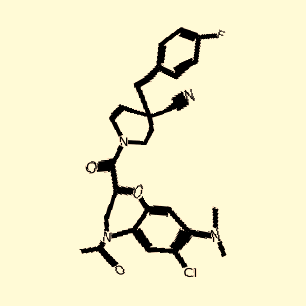 CC(=O)N1CC(C(=O)N2CCC(C#N)(Cc3ccc(F)cc3)CC2)Oc2cc(N(C)C)c(Cl)cc21